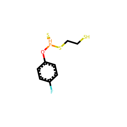 Fc1ccc(O[PH](=S)SCCS)cc1